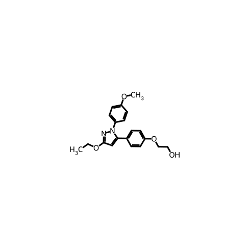 CCOc1cc(-c2ccc(OCCO)cc2)n(-c2ccc(OC)cc2)n1